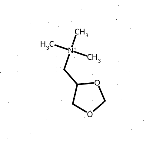 C[N+](C)(C)CC1COCO1